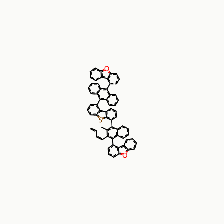 C=C/C=C\c1c(C)c(-c2cccc3c2sc2cccc(-c4c5ccccc5c(-c5cccc6oc7ccccc7c56)c5ccccc45)c23)c2ccccc2c1-c1cccc2oc3ccccc3c12